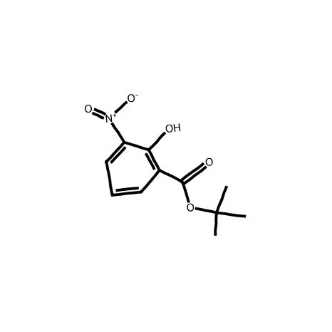 CC(C)(C)OC(=O)c1cccc([N+](=O)[O-])c1O